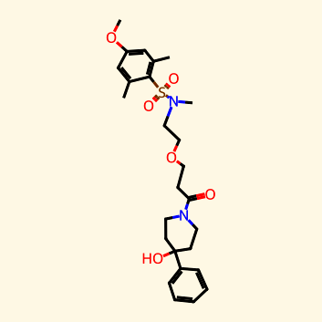 COc1cc(C)c(S(=O)(=O)N(C)CCOCCC(=O)N2CCC(O)(c3ccccc3)CC2)c(C)c1